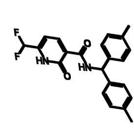 Cc1ccc(C(NC(=O)c2ccc(C(F)F)[nH]c2=O)c2ccc(C)cc2)cc1